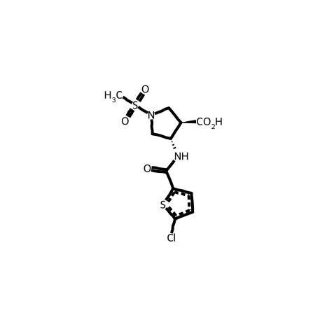 CS(=O)(=O)N1C[C@@H](NC(=O)c2ccc(Cl)s2)[C@H](C(=O)O)C1